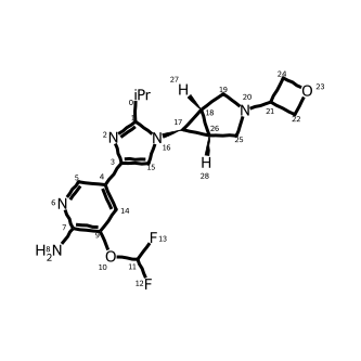 CC(C)c1nc(-c2cnc(N)c(OC(F)F)c2)cn1[C@H]1[C@@H]2CN(C3COC3)C[C@@H]21